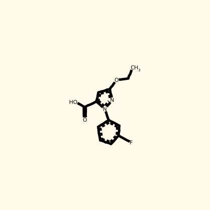 CCOc1cc(C(=O)O)n(-c2cccc(F)c2)n1